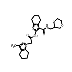 O=C(Cn1nc(C(F)(F)F)c2c1CCCC2)Nc1sc2c(c1C(=O)NCC1COCCO1)CCCC2